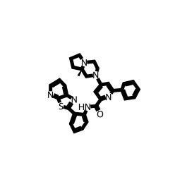 C[C@@]12CCCN1CCN(c1cc(C(=O)Nc3ccccc3-c3nc4cccnc4s3)nc(-c3ccccc3)c1)C2